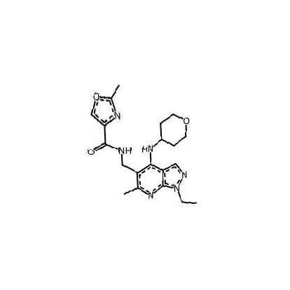 CCn1ncc2c(NC3CCOCC3)c(CNC(=O)c3coc(C)n3)c(C)nc21